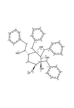 OC(Cc1ccccc1)[C@H]1O[C@H](OCl)[C@@](O)(Cc2ccccc2)[C@](O)(Cc2ccccc2)[C@]1(O)Cc1ccccc1